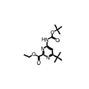 CCOC(=O)c1nc(NC(=O)OC(C)(C)C)cc(C(C)(C)C)n1